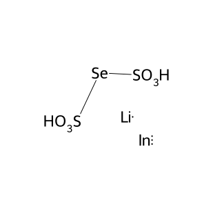 O=S(=O)(O)[Se]S(=O)(=O)O.[In].[Li]